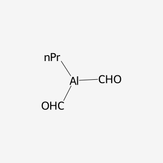 CC[CH2][Al]([CH]=O)[CH]=O